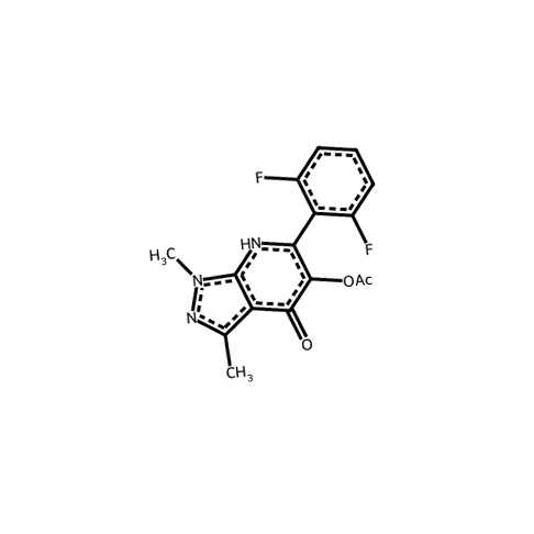 CC(=O)Oc1c(-c2c(F)cccc2F)[nH]c2c(c(C)nn2C)c1=O